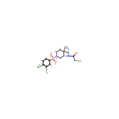 CC1(CNC(=O)CCl)CCN(S(=O)(=O)c2ccc(Br)c(F)c2)CC1